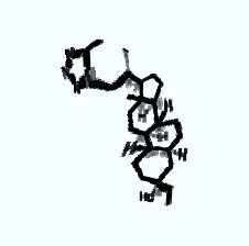 CC[C@@]1(O)CC[C@H]2[C@@H](CC[C@@H]3[C@@H]2CC[C@]2(C)[C@@H]([C@@H](C)Cn4nnnc4C)CC[C@@H]32)C1